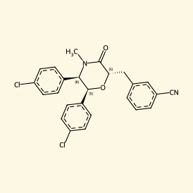 CN1C(=O)[C@H](Cc2cccc(C#N)c2)O[C@@H](c2ccc(Cl)cc2)[C@H]1c1ccc(Cl)cc1